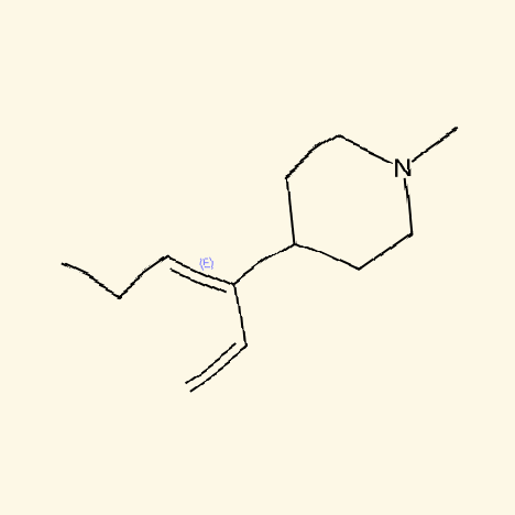 C=C/C(=C\CC)C1CCN(C)CC1